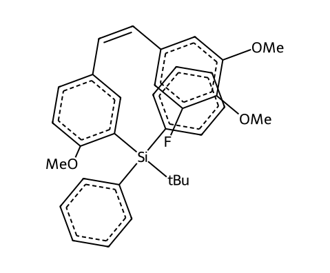 COc1ccc(/C=C\c2cc(F)c(OC)c(OC)c2)cc1[Si](c1ccccc1)(c1ccccc1)C(C)(C)C